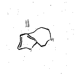 I.c1cc2c(s1)CNCC2